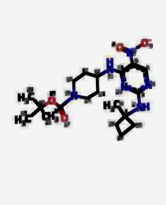 CC1(Nc2ncc([N+](=O)[O-])c(NC3CCN(C(=O)OC(C)(C)C)CC3)n2)CCC1